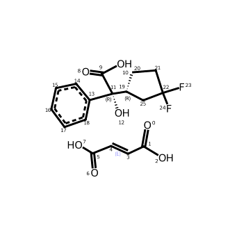 O=C(O)/C=C/C(=O)O.O=C(O)[C@](O)(c1ccccc1)[C@@H]1CCC(F)(F)C1